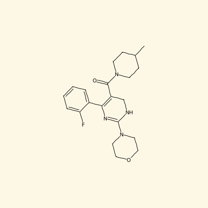 CC1CCN(C(=O)C2=C(c3ccccc3F)N=C(N3CCOCC3)NC2)CC1